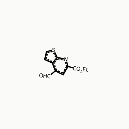 CCOC(=O)c1cc(C=O)c2ccsc2n1